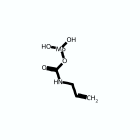 C=CCNC(=O)[O][Mo]([OH])[OH]